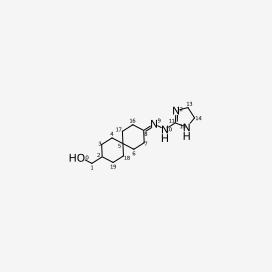 OCC1CCC2(CCC(=NNC3=NCCN3)CC2)CC1